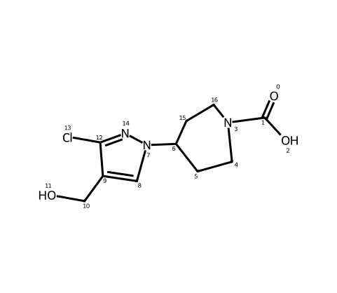 O=C(O)N1CCC(n2cc(CO)c(Cl)n2)CC1